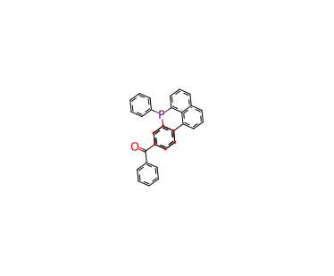 O=C(c1ccccc1)c1ccc(-c2cccc3cccc(P(c4ccccc4)c4ccccc4)c23)cc1